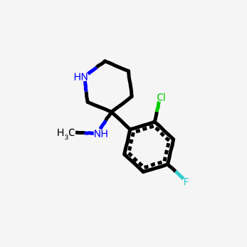 CNC1(c2ccc(F)cc2Cl)CCCNC1